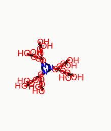 OCC(O)OCOCC(OCOC(O)CO)OCN1CCN(CO[C@H](COCO[C@@H](O)CO)OCO[C@@H](O)CO)CCN(CO[C@H](COCO[C@@H](O)CO)OCO[C@@H](O)CO)CC1